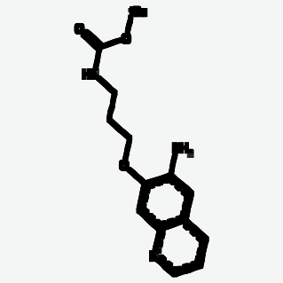 CC(C)(C)OC(=O)NCCCOc1cc2ncccc2cc1N